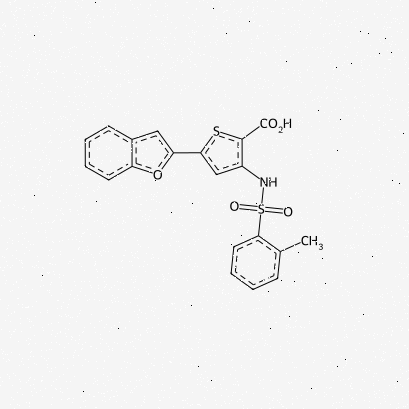 Cc1ccccc1S(=O)(=O)Nc1cc(-c2cc3ccccc3o2)sc1C(=O)O